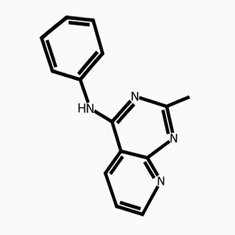 Cc1nc(Nc2ccccc2)c2cccnc2n1